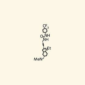 CCn1c(C#CCNC(=O)Nc2ccc(C(F)(F)F)cc2)cc2cc(CNC)ccc21